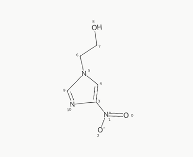 O=[N+]([O-])c1cn(CCO)cn1